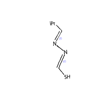 CC(C)/C=N/N=C/S